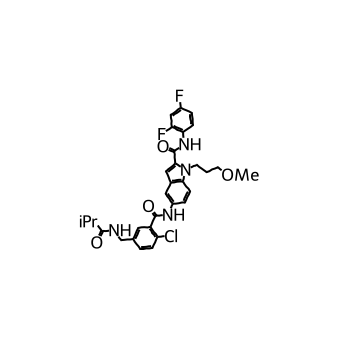 COCCCn1c(C(=O)Nc2ccc(F)cc2F)cc2cc(NC(=O)c3cc(CNC(=O)C(C)C)ccc3Cl)ccc21